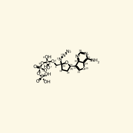 [N-]=[N+]=N[C@@]1(COP(=O)(O)OP(=O)(O)OP(=O)(O)O)CC[C@H](c2csc3c(N)ncnc23)O1